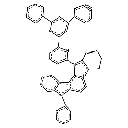 c1ccc(-c2cc(-c3ccccc3)nc(-c3cccc(-n4c5c(c6ccc7c(c8ccccc8n7-c7ccccc7)c64)CCC=C5)n3)c2)cc#1